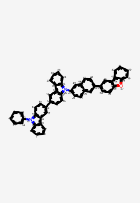 c1ccc(-n2c3ccccc3c3cc(-c4ccc5c(c4)c4ccccc4n5-c4ccc5cc(-c6ccc7oc8ccccc8c7c6)ccc5c4)ccc32)cc1